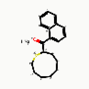 O=C(c1cccc2ccccc12)C1CCCCCCCS1.[NaH]